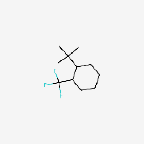 CC(C)(C)C1CCCCC1C(F)(F)F